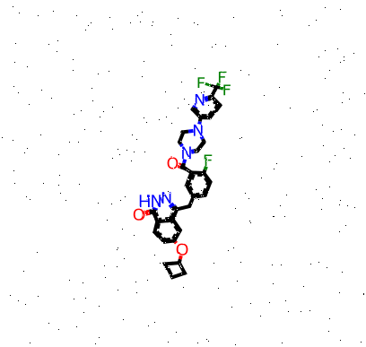 O=C(c1cc(Cc2n[nH]c(=O)c3ccc(OC4CCC4)cc23)ccc1F)N1CCN(c2ccc(C(F)(F)F)nc2)CC1